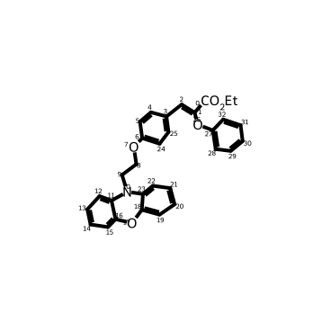 CCOC(=O)C(=Cc1ccc(OCCN2c3ccccc3Oc3ccccc32)cc1)Oc1ccccc1